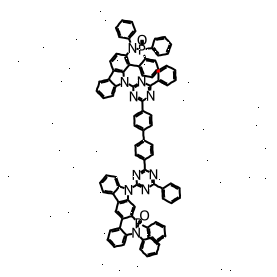 O=P1(c2ccccc2)c2cc3c(cc2-c2ccccc2N1c1ccccc1)c1ccccc1n3-c1nc(-c2ccccc2)nc(-c2ccc(-c3ccc(-c4nc(-c5ccccc5)nc(-n5c6ccccc6c6ccc7c(c65)-c5ccccc5P(=O)(c5ccccc5)N7c5ccccc5)n4)cc3)cc2)n1